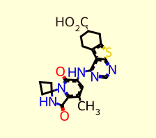 Cc1cc(Nc2ncnc3sc4c(c23)CC[C@H](C(=O)O)C4)c(=O)n2c1C(=O)NC21CCC1